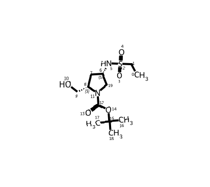 CCS(=O)(=O)N[C@H]1C[C@@H](CO)N(C(=O)OC(C)(C)C)C1